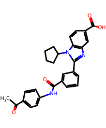 CC(=O)c1ccc(NC(=O)c2cccc(-c3nc4cc(C(=O)O)ccc4n3C3CCCC3)c2)cc1